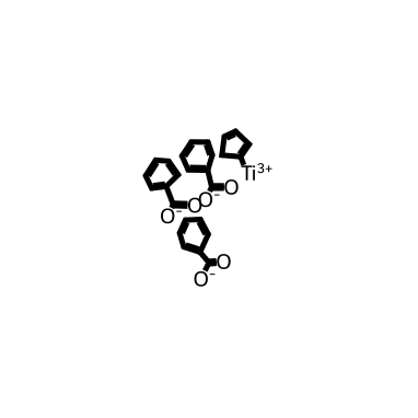 O=C([O-])c1ccccc1.O=C([O-])c1ccccc1.O=C([O-])c1ccccc1.[Ti+3][C]1=CC=CC1